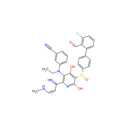 CCN(c1cccc(C#N)c1)c1c(C(=N)/C=C\NC)nc(O)c([S+]([O-])c2ccc(-c3cccc(F)c3C=O)cc2)c1O